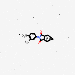 O=C1C2C3CCC(C4CC43)C2C(=O)N1c1ccc([N+](=O)[O-])c(C(F)(F)F)c1